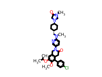 COc1c(OC(C)C)cc2c(c1-c1ccc(Cl)cc1)CC(=O)N(c1ccc(N(C)C[C@H]3CC[C@H](N4CC(=O)N(C)C4)CC3)nc1)C2